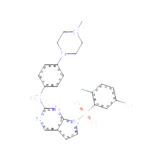 CN1CCN(c2ccc(Nc3ncc4ccn(S(=O)(=O)c5cc(Cl)ccc5Cl)c4n3)cc2)CC1